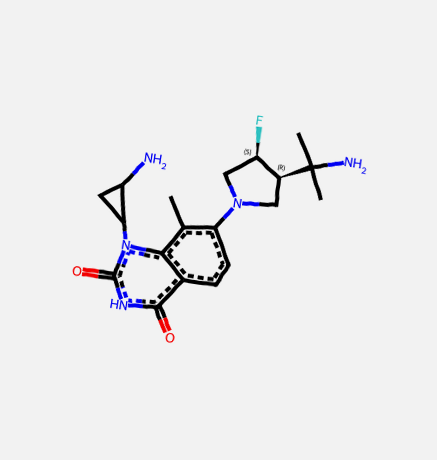 Cc1c(N2C[C@@H](F)[C@@H](C(C)(C)N)C2)ccc2c(=O)[nH]c(=O)n(C3CC3N)c12